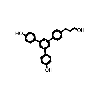 OCCCc1ccc(-c2cc(-c3ccc(O)cc3)cc(-c3ccc(O)cc3)c2)cc1